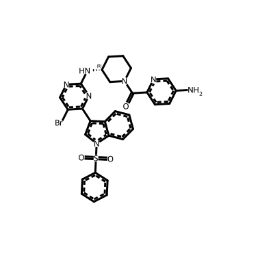 Nc1ccc(C(=O)N2CCC[C@@H](Nc3ncc(Br)c(-c4cn(S(=O)(=O)c5ccccc5)c5ccccc45)n3)C2)nc1